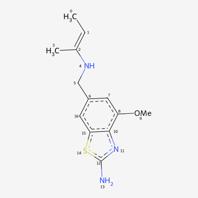 C/C=C(\C)NCc1cc(OC)c2nc(N)sc2c1